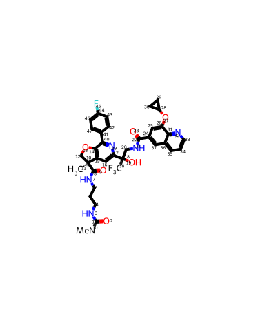 CNC(=O)NCCCNC(=O)[C@@]1(C)COc2c1cc(C(O)(CNC(=O)c1cc(OC3CC3)c3ncccc3c1)C(F)(F)F)nc2-c1ccc(F)cc1